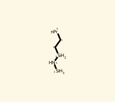 CCCCC[SiH2]N[SiH3]